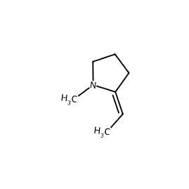 CC=C1CCCN1C